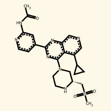 CC(=O)Nc1cc(-c2nc(N3CCN[C@@H](CS(C)(=O)=O)C3)c3c(C4CC4)cncc3n2)ccn1